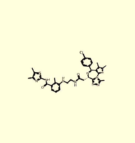 Cc1nc(NC(=O)c2cccc(NCCNC(=O)C[C@@H]3N=C(c4ccc(Cl)cc4)c4c(sc(C)c4C)-n4c(C)nnc43)c2C)sc1C